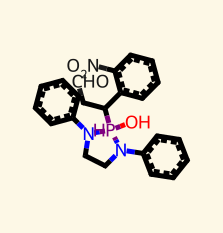 O=CCC(c1ccccc1[N+](=O)[O-])[PH]1(O)N(c2ccccc2)CCN1c1ccccc1